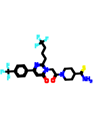 NC(=S)C1CCN(C(=O)Cn2c(CCCC(F)(F)F)nc(-c3ccc(C(F)(F)F)cc3)cc2=O)CC1